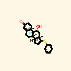 C[C@]12C=CC(=O)C=C1CC[C@H]1[C@@H]3CC=C(Sc4ccccc4)[C@@]3(C)C[C@H](O)C12F